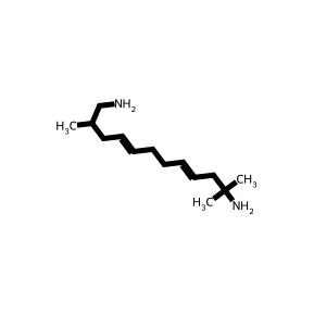 CC(CN)CC=CCCC=CCC(C)(C)N